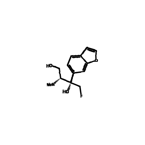 CN[C@H](CO)[C@](O)(CF)c1ccc2ccoc2c1